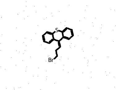 BrCCC=C1c2ccccc2Sc2ccccc21